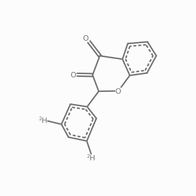 [2H]c1cc([2H])cc(C2Oc3ccccc3C(=O)C2=O)c1